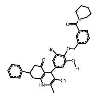 CCOc1cc(C2C(C#N)=C(C)NC3=C2C(=O)CC(c2ccccc2)C3)cc(Br)c1OCc1cccc(C(=O)N2CCCCC2)c1